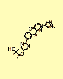 C[C@H](c1cccc(-c2ncc(O[C@@H](C)C(C)(C)O)cn2)c1)c1nn(-c2cnn(C)c2)ccc1=O